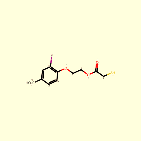 O=C(CS)OCCOc1ccc(C(=O)O)cc1I